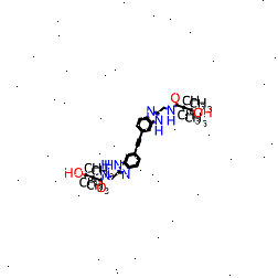 CC(C)(O)C(C)(C)C(=O)NCc1nc2ccc(C#Cc3ccc4nc(CNC(=O)C(C)(C)C(C)(C)O)[nH]c4c3)cc2[nH]1